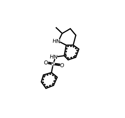 CC1CCc2cccc(NS(=O)(=O)c3ccccc3)c2N1